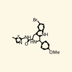 COc1ccc(C2NC(C(=O)Nc3ncc(C)s3)Cc3c2[nH]c2ccc(Br)cc32)cc1